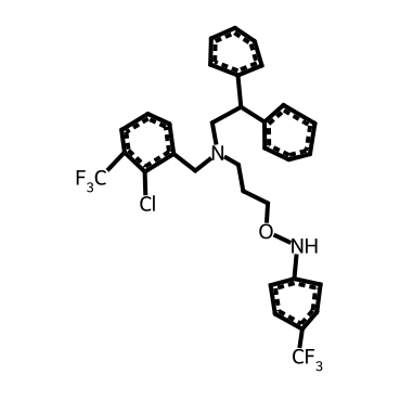 FC(F)(F)c1ccc(NOCCCN(Cc2cccc(C(F)(F)F)c2Cl)CC(c2ccccc2)c2ccccc2)cc1